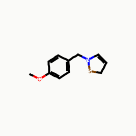 COc1ccc(CN2C=CCS2)cc1